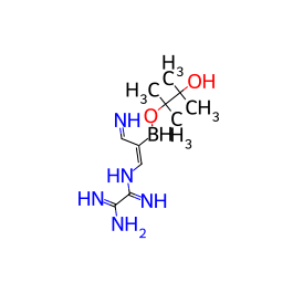 CC(C)(O)C(C)(C)OB/C(C=N)=C/NC(=N)C(=N)N